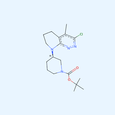 Cc1c(Cl)nnc2c1CCCN2[C@@H]1CCCN(C(=O)OC(C)(C)C)C1